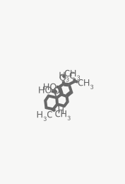 COc1c(C(C)C)cc2c(c1O)[C@@]1(C(=O)O)CCCC(C)(C)[C@@H]1CC2